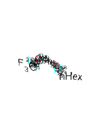 CCCCCCc1cc(F)c(C(F)(F)OC2CCC(/C=C/C3CCC(C(F)(F)Oc4cc(F)c(C(F)(F)F)c(F)c4)CC3)CC2)c(F)c1